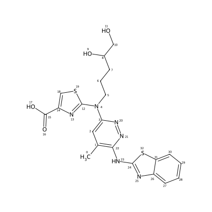 Cc1cc(N(CCCC(O)CO)c2nc(C(=O)O)cs2)nnc1Nc1nc2ccccc2s1